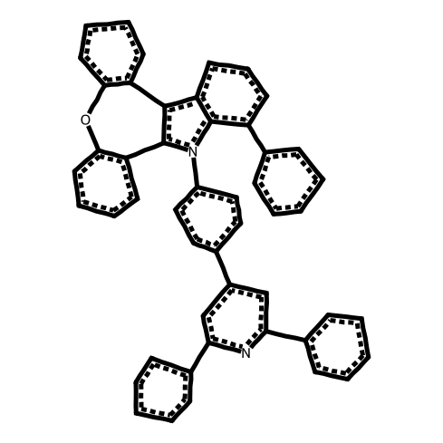 c1ccc(-c2cc(-c3ccc(-n4c5c(c6cccc(-c7ccccc7)c64)-c4ccccc4Oc4ccccc4-5)cc3)cc(-c3ccccc3)n2)cc1